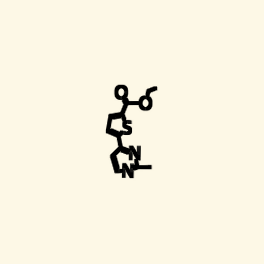 CCOC(=O)c1ccc(-c2ccnc(C)n2)s1